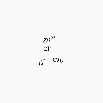 C.[Cl-].[Cl-].[Zn+2]